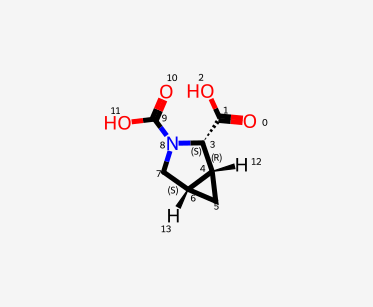 O=C(O)[C@@H]1[C@@H]2C[C@@H]2CN1C(=O)O